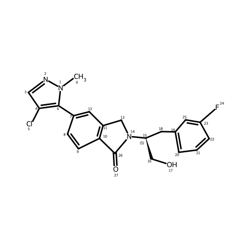 Cn1ncc(Cl)c1-c1ccc2c(c1)CN([C@H](CO)Cc1cccc(F)c1)C2=O